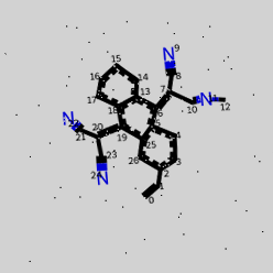 C=Cc1ccc2/c(=C(C#N)\C=N\C)c3ccccc3c(=C(C#N)C#N)c2c1